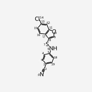 N#Cc1ccc(NSc2coc3cc(Cl)ccc23)cc1